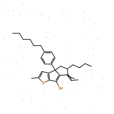 CC=CC1=C(S)c2sc(C)cc2C1(CC(CC)CCCC)c1ccc(CCCCCC)cc1